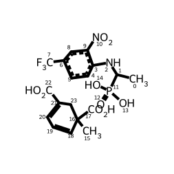 CC(Nc1ccc(C(F)(F)F)cc1[N+](=O)[O-])P(=O)(O)O.CC1(C(=O)O)C=CC=C(C(=O)O)C1